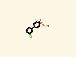 CCCCCCCCOC1(C(=O)O)C=CC(c2cccc(Cl)c2)C=C1